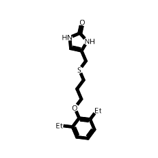 CCc1cccc(CC)c1OCCCSCc1c[nH]c(=O)[nH]1